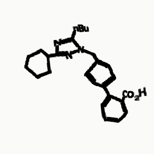 CCCCc1nc(C2CCCCC2)nn1Cc1ccc(-c2ccccc2C(=O)O)cc1